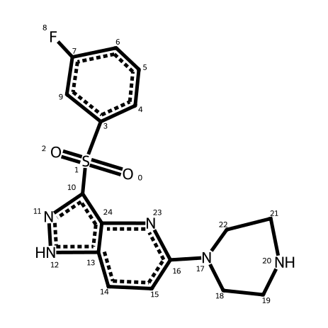 O=S(=O)(c1cccc(F)c1)c1n[nH]c2ccc(N3CCNCC3)nc12